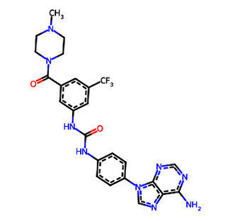 CN1CCN(C(=O)c2cc(NC(=O)Nc3ccc(-n4cnc5c(N)ncnc54)cc3)cc(C(F)(F)F)c2)CC1